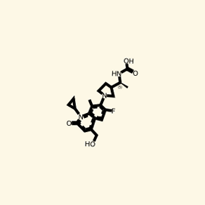 Cc1c(N2CCC([C@H](C)NC(=O)O)C2)c(F)cc2c(CO)cc(=O)n(C3CC3)c12